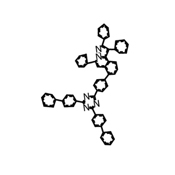 c1ccc(-c2ccc(-c3nc(-c4ccc(-c5ccccc5)cc4)nc(-c4ccc(-c5cccc6c5cc(-c5ccccc5)n5nc(-c7ccccc7)c(-c7ccccc7)c65)cc4)n3)cc2)cc1